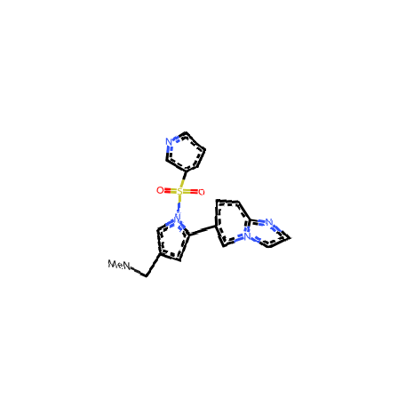 CNCc1cc(-c2ccc3nccn3c2)n(S(=O)(=O)c2cccnc2)c1